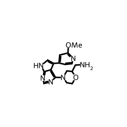 COc1cc(-c2c[nH]c3ncnc(N4CCOC(CN)C4)c23)ccn1